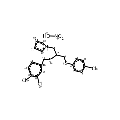 Clc1ccc(SCC(Cn2ccnc2)SCc2ccc(Cl)c(Cl)c2)cc1.O=[N+]([O-])O